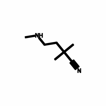 CNCCC(C)(C)C#N